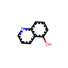 Oc1cccc2n[c]ccc12